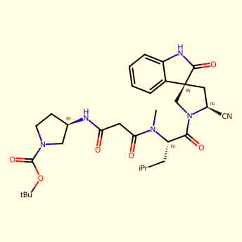 CC(C)C[C@@H](C(=O)N1C[C@]2(C[C@H]1C#N)C(=O)Nc1ccccc12)N(C)C(=O)CC(=O)N[C@@H]1CCN(C(=O)OC(C)(C)C)C1